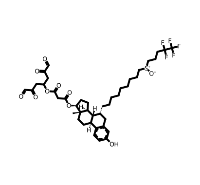 C[C@]12CC[C@@H]3c4ccc(O)cc4C[C@@H](CCCCCCCCC[S+]([O-])CCCC(F)(F)C(F)(F)F)[C@H]3[C@@H]1CC[C@@H]2OC(=O)CC(=O)OC(CC(=O)C=O)CC(=O)C=O